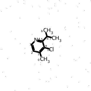 Cc1ccnc(C(C)C)c1Cl